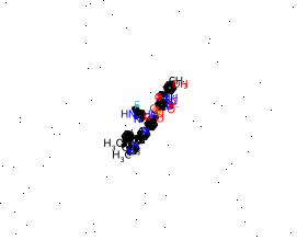 CC(C)c1ccccc1[C@@H]1CN(C)CCN1C1CC2(CCN(c3ccc(C(=O)NS(=O)(=O)c4cc5c(c([N+](=O)[O-])c4)N[C@@H](C4CCC(C)(O)CC4)CO5)c(Oc4cnc5[nH]cc(F)c5c4)c3)CC2)C1